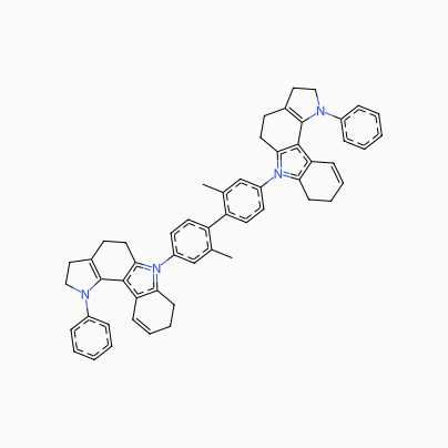 Cc1cc(-n2c3c(c4c2CCC2=C4N(c4ccccc4)CC2)C=CCC3)ccc1-c1ccc(-n2c3c(c4c2CCC2=C4N(c4ccccc4)CC2)C=CCC3)cc1C